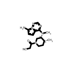 C[C@@H]1CCN(C(=O)CC#N)C[C@@H]1N(C)c1ncnn2c(N)ccc12